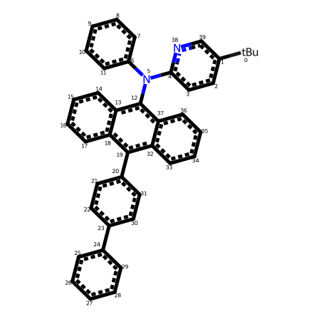 CC(C)(C)c1ccc(N(c2ccccc2)c2c3ccccc3c(-c3ccc(-c4ccccc4)cc3)c3ccccc23)nc1